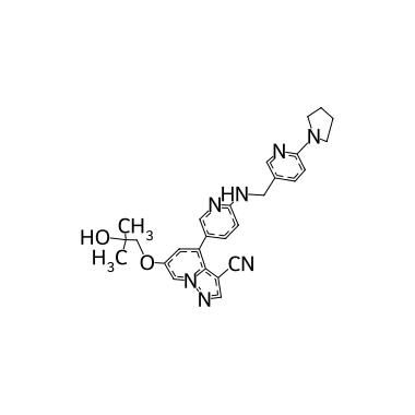 CC(C)(O)COc1cc(-c2ccc(NCc3ccc(N4CCCC4)nc3)nc2)c2c(C#N)cnn2c1